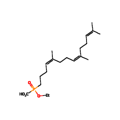 CCOP(=O)(CCCC=C(C)CCC=C(C)CCC=C(C)C)C(=O)O